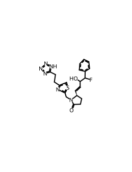 O=C1CC[C@H](C=CC(O)C(F)c2ccccc2)N1Cc1nc(CCc2nnn[nH]2)cs1